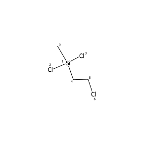 C[Si](Cl)(Cl)CCCl